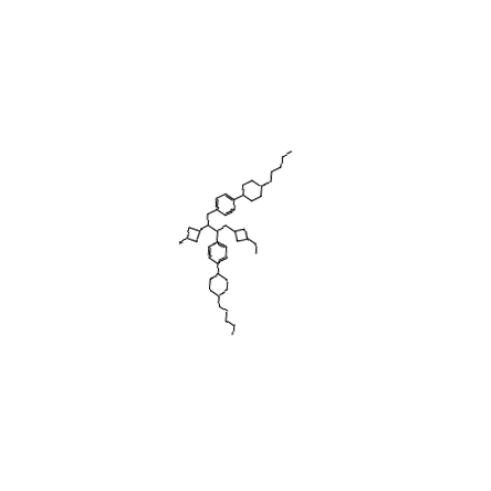 CCCCCC1CCC(c2ccc(CC(C3CC(C)C3)C(CC3CC(CC)C3)c3ccc(C4CCC(CCCCC)CC4)cc3)cc2)CC1